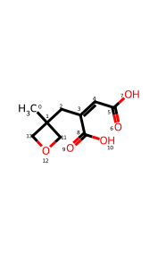 CC1(CC(=CC(=O)O)C(=O)O)COC1